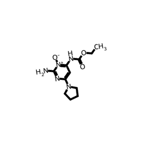 CCOC(=O)Nc1cc(N2CCCC2)nc(N)[n+]1[O-]